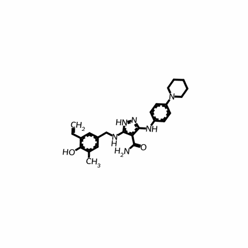 C=Cc1cc(CNc2[nH]nc(Nc3ccc(N4CCCCC4)cc3)c2C(N)=O)cc(C)c1O